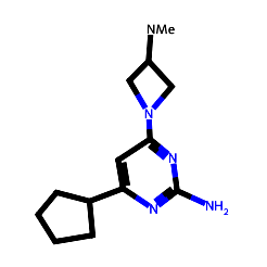 CNC1CN(c2cc(C3CCCC3)nc(N)n2)C1